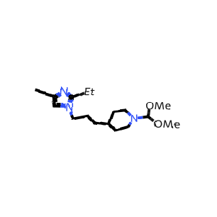 CCc1nc(C)cn1CCCC1CCN(C(OC)OC)CC1